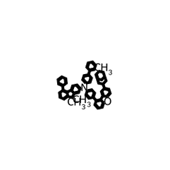 CC1C=C2CC(C1)CC(c1ccc3oc4cccc(-c5ccc(N(c6ccc(-c7ccccc7)cc6)c6ccc7c(c6)C(C)(C)c6cccc(-c8ccccc8)c6-7)cc5)c4c3c1)C2